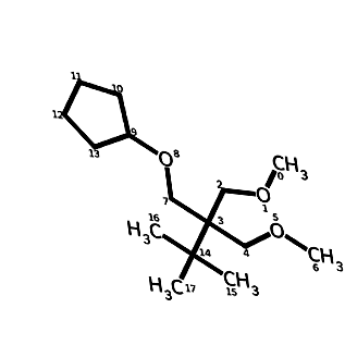 COCC(COC)(COC1CCCC1)C(C)(C)C